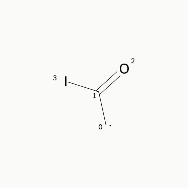 [CH2]C(=O)I